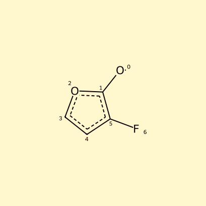 [O]c1occc1F